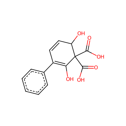 O=C(O)C1(C(=O)O)C(O)=C(c2ccccc2)C=CC1O